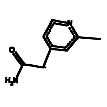 Cc1cc([CH]C(N)=O)ccn1